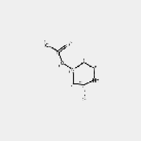 C[C@@H]1CN(OC(=O)O)CCN1